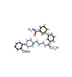 COc1ccccc1N1CCN(CCCCN(C(=O)O)c2cccc(-c3cccc(C(N)=O)c3)c2)CC1